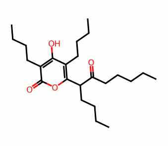 CCCCCC(=O)C(CCCC)c1oc(=O)c(CCCC)c(O)c1CCCC